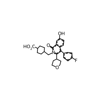 O=C(O)C1CCC(Cn2c(C3CCOCC3)c(-c3ccc(F)cc3)c3ccc(O)cc3c2=O)CC1